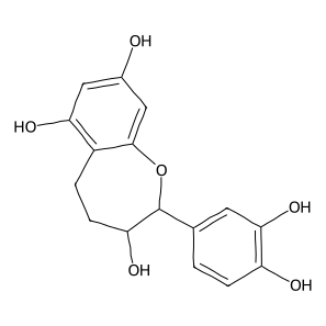 Oc1cc(O)c2c(c1)OC(c1ccc(O)c(O)c1)C(O)CC2